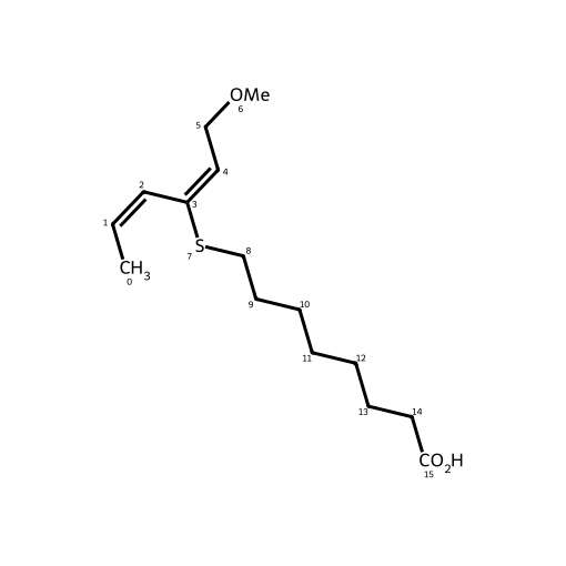 C/C=C\C(=C/COC)SCCCCCCCC(=O)O